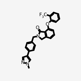 Cn1cc(-c2ccc(CN3Cc4cccc(Oc5ccccc5C(F)(F)F)c4C3=O)cc2)cn1